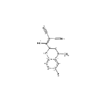 CN1CC(C(O)=C(C#N)C#N)Oc2ccc(F)cc21